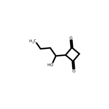 CCCC(O)[C]1C(=O)CC1=O